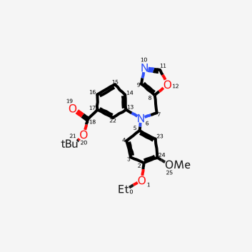 CCOc1ccc(N(Cc2cnco2)c2cccc(C(=O)OC(C)(C)C)c2)cc1OC